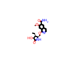 CC[C@@H]1[C@H](O)C(=O)N[C@@H]1COc1nccc2cc(C(N)=O)c(OC)cc12